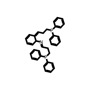 C1=CC(=CCCP(c2ccccc2)c2ccccc2)C(N=CCCP(c2ccccc2)c2ccccc2)C=C1